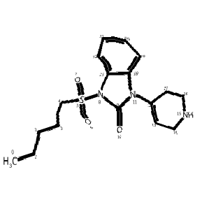 CCCCCS(=O)(=O)n1c(=O)n(C2=CCNCC2)c2ccccc21